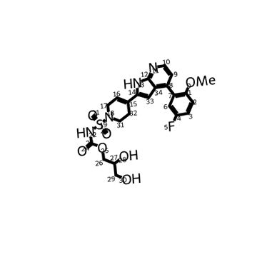 COc1ccc(F)cc1-c1ccnc2[nH]c(C3=CCN(S(=O)(=O)NC(=O)OCC(O)CO)CC3)cc12